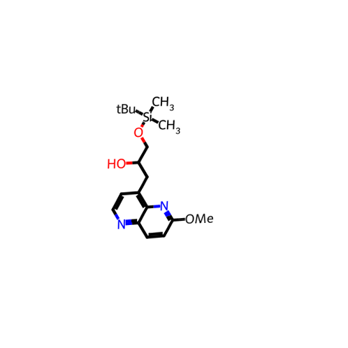 COc1ccc2nccc(CC(O)CO[Si](C)(C)C(C)(C)C)c2n1